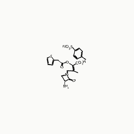 CC(CN1C[C@H](N)C1=O)=C(OC(=O)Cc1cccs1)C(=O)O.Cc1ccc(S(=O)(=O)O)cc1